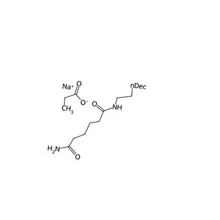 CCC(=O)[O-].CCCCCCCCCCCCNC(=O)CCCCC(N)=O.[Na+]